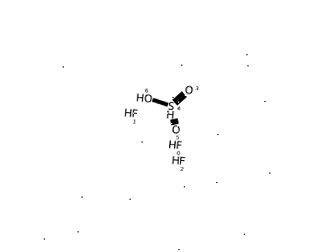 F.F.F.O=[SH](=O)O